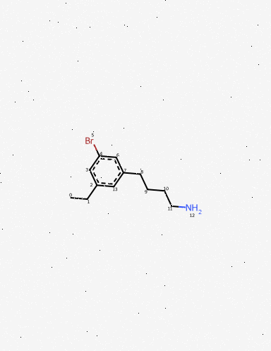 CCc1cc(Br)cc(CCCCN)c1